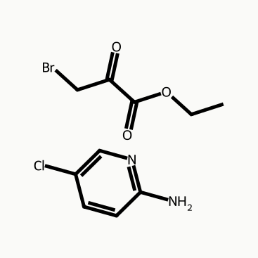 CCOC(=O)C(=O)CBr.Nc1ccc(Cl)cn1